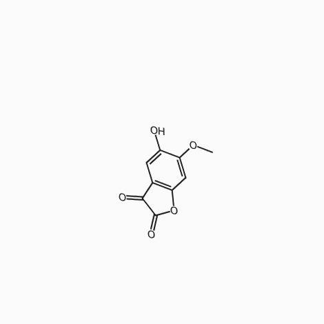 COc1cc2c(cc1O)C(=O)C(=O)O2